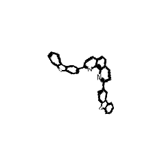 c1ccc2c(c1)oc1ccc(-c3ccc4ccc5ccc(-c6ccc7sc8ccccc8c7c6)nc5c4n3)cc12